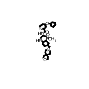 CN1C(=O)[C@@H](NC(=O)c2cc(Oc3ccccc3)ccn2)CNc2ccc(CN3CCC4(CCOCC4)CC3)cc21